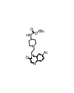 CC(=O)c1ccc2ncc(=O)n(CCN3CCC(NC(=O)OC(C)(C)C)CC3)c2c1